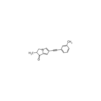 Cc1cccc(C#Cc2cc3n(c2)CC(C)C3=O)c1